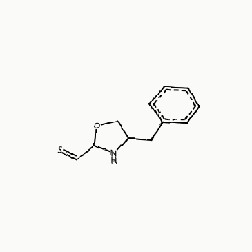 S=CC1NC(Cc2ccccc2)CO1